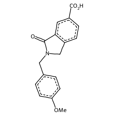 COc1ccc(CN2Cc3ccc(C(=O)O)cc3C2=O)cc1